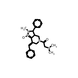 CN(C)CC(=O)N1CC(=Cc2ccccc2)C2=[N+]([O-])N(C)C(c3ccccc3)C2C1